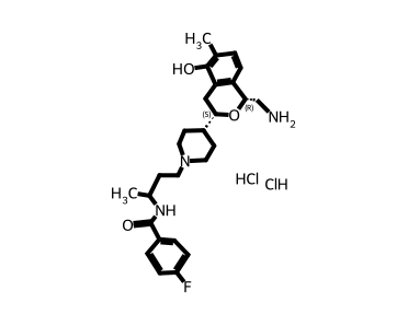 Cc1ccc2c(c1O)C[C@@H](C1CCN(CCC(C)NC(=O)c3ccc(F)cc3)CC1)O[C@H]2CN.Cl.Cl